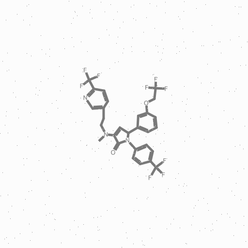 CN(CCc1ccc(C(F)(F)F)nc1)C1=CC(c2cccc(OCC(F)(F)F)c2)N(c2ccc(C(F)(F)F)cc2)C1=O